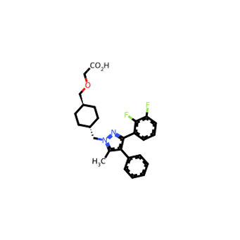 Cc1c(-c2ccccc2)c(-c2cccc(F)c2F)nn1C[C@H]1CC[C@H](COCC(=O)O)CC1